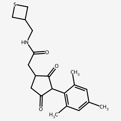 Cc1cc(C)c(C2C(=O)CC(CC(=O)NCC3CSC3)C2=O)c(C)c1